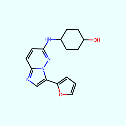 OC1CCC(Nc2ccc3ncc(-c4ccco4)n3n2)CC1